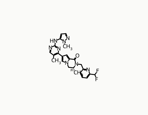 Cc1cnc(Nc2ccnn2C)nc1-c1cc2n(c1)C[C@@H](C)N(Cc1cccc(C(F)F)n1)C2=O